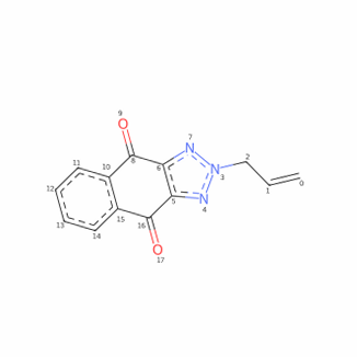 C=CCn1nc2c(n1)C(=O)c1ccccc1C2=O